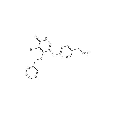 O=C(O)Cc1ccc(Cc2c[nH]c(=O)c(Br)c2OCc2ccccc2)cc1